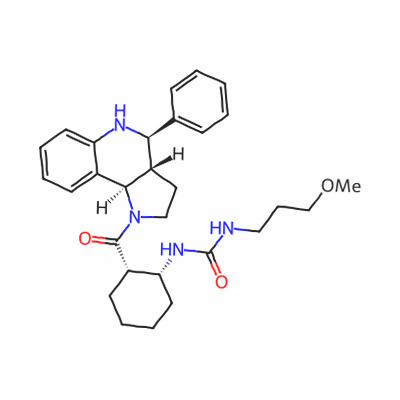 COCCCNC(=O)N[C@@H]1CCCC[C@@H]1C(=O)N1CC[C@H]2[C@H](c3ccccc3)Nc3ccccc3[C@@H]21